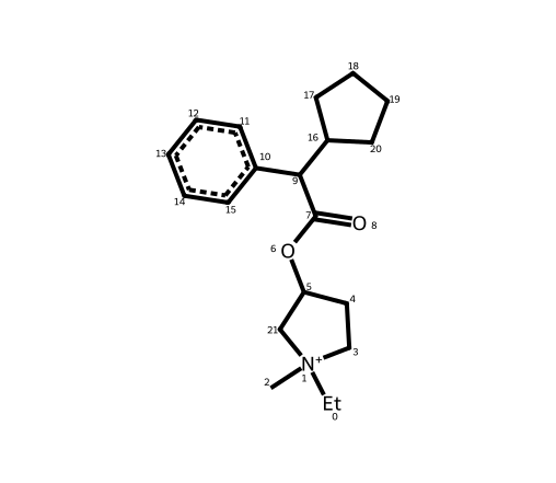 CC[N+]1(C)CCC(OC(=O)C(c2ccccc2)C2CCCC2)C1